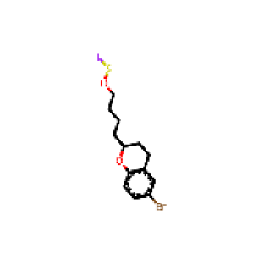 Brc1ccc2c(c1)CCC(CCCCOSI)O2